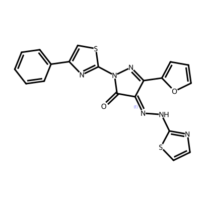 O=C1/C(=N/Nc2nccs2)C(c2ccco2)=NN1c1nc(-c2ccccc2)cs1